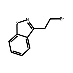 BrCCc1nsc2ccccc12